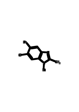 CCn1c(C)nc2cc(C(C)C)c(Cl)cc21